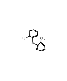 FC(F)(F)c1ccccc1[B]c1ccccc1C(F)(F)F